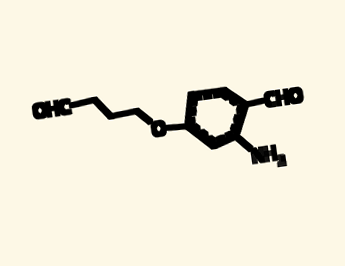 Nc1cc(OCCCC=O)ccc1C=O